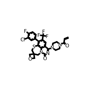 C=CC(=O)N1CCN(/C(=N/C)c2cc(C(F)(F)F)c(-c3ccc(F)c(Cl)c3)c3c2N(C=O)CC2(COC2)CS3)CC1